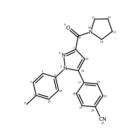 Cc1ccc(-n2nc(C(=O)N3CCCC3)cc2-c2ccc(C#N)cc2)cc1